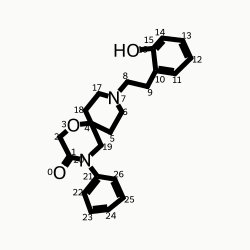 O=C1COC2(CCN(CCc3ccccc3O)CC2)CN1c1ccccc1